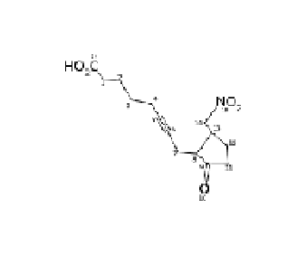 O=C(O)CCCCC#CCC1C(=O)CCC1C[N+](=O)[O-]